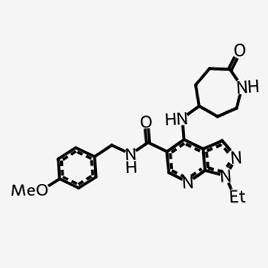 CCn1ncc2c(NC3CCNC(=O)CC3)c(C(=O)NCc3ccc(OC)cc3)cnc21